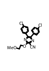 COCCOc1nc(-c2ccc(Cl)cc2)c(-c2ccc(Cl)cc2)nc1C#N